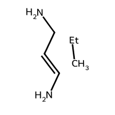 CCC.NC=CCN